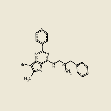 Cc1sc2c(NC[C@H](N)Cc3ccccc3)nc(-c3ccncc3)nc2c1Br